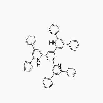 C1=C(c2ccccc2)C=C(c2cc(C3=CC(c4ccccc4)=CC(c4ccccc4)N3)cc(-c3cc(-c4ccccc4)cc(-c4ccccc4)n3)c2)NC1c1ccccc1